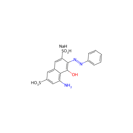 Nc1cc(S(=O)(=O)O)cc2cc(S(=O)(=O)O)c(N=Nc3ccccc3)c(O)c12.[NaH]